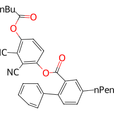 CCCCCc1ccc(-c2ccccc2)c(C(=O)Oc2ccc(OC(=O)CCCC)c(C#N)c2C#N)c1